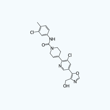 Cc1ccc(NC(=O)N2CC=C(c3ncc(-c4ocnc4CO)cc3Cl)CC2)cc1Cl